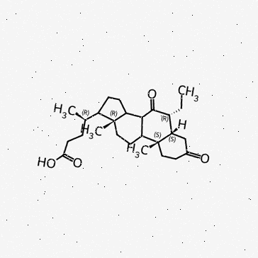 CC[C@H]1C(=O)C2C3CCC([C@H](C)CCC(=O)O)[C@@]3(C)CCC2[C@@]2(C)CCC(=O)C[C@@H]12